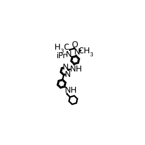 CC(C)N1c2cc(Nc3nccc(-c4cccc(NCC5CCCCC5)c4)n3)ccc2N(C)C(=O)[C@H]1C